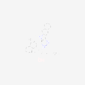 COCCC1(C)[n+]2cnc3c4cc5ccccc5cc4n(C)c3c2-c2cc(C(C)(C)C)c3ccccc3c2C1(C)CCO